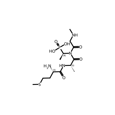 CNCC(=O)N(C(=O)[C@H](C)NC(=O)[C@@H](N)CCSC)[C@@H](C)P(=O)(O)O